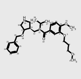 COCCCOc1cc(C(=O)N(C[C@@H]2CNCC2OCc2ccccc2)C(C)C)ccc1OC